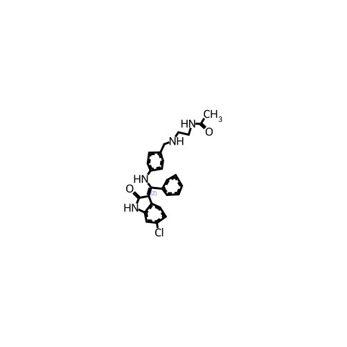 CC(=O)NCCNCc1ccc(N/C(=C2\C(=O)Nc3cc(Cl)ccc32)c2ccccc2)cc1